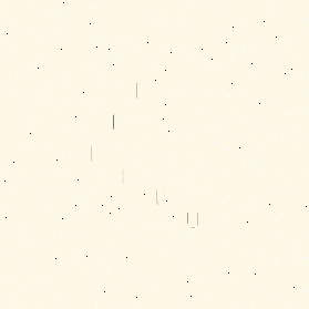 [I-].[I-].[I-].[I-].[I-].[U+5]